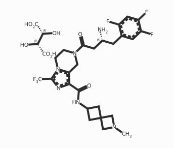 CN1CC2(CC(NC(=O)c3nc(C(F)(F)F)n4c3CN(C(=O)C[C@H](N)Cc3cc(F)c(F)cc3F)CC4)C2)C1.O=C(O)[C@H](O)[C@@H](O)C(=O)O